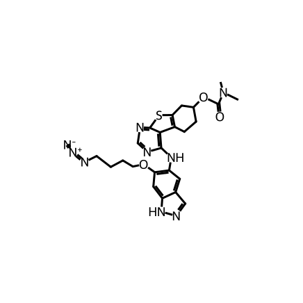 CN(C)C(=O)OC1CCc2c(sc3ncnc(Nc4cc5cn[nH]c5cc4OCCCCN=[N+]=[N-])c23)C1